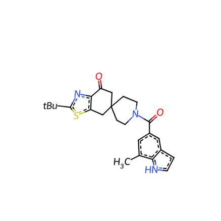 Cc1cc(C(=O)N2CCC3(CC2)CC(=O)c2nc(C(C)(C)C)sc2C3)cc2cc[nH]c12